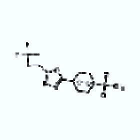 CS(=O)(=O)C12CCC(c3nnc(C4CC(F)(F)C4)o3)(CC1)CC2